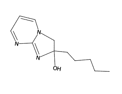 CCCCCC1(O)CN2C=CC=NC2=N1